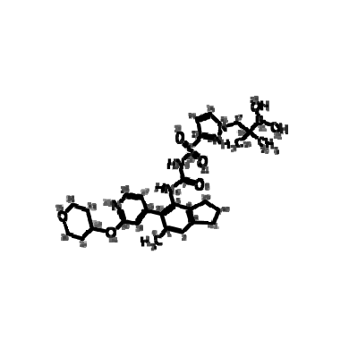 Cc1cc2c(c(NC(=O)NS(=O)(=O)c3ccn(CC(C)(C)B(O)O)n3)c1-c1ccnc(OC3CCOCC3)c1)CCC2